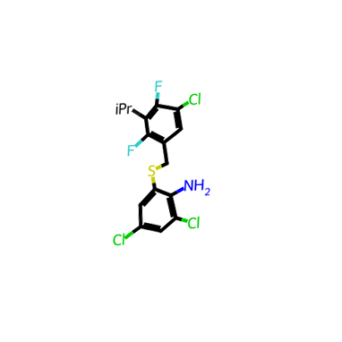 CC(C)c1c(F)c(Cl)cc(CSc2cc(Cl)cc(Cl)c2N)c1F